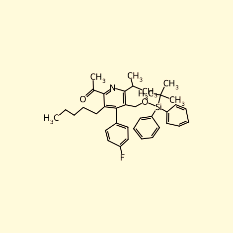 CCCCCc1c(C(C)=O)nc(C(C)C)c(CO[Si](c2ccccc2)(c2ccccc2)C(C)(C)C)c1-c1ccc(F)cc1